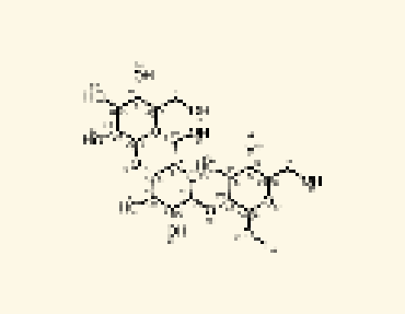 OC[C@H]1O[C@@H](O[C@H]2[C@H](O)[C@@H](O)[C@H](O[C@H]3[C@H](OI)O[C@H](CO)[C@@H](O)[C@@H]3O)O[C@@H]2CO)[C@H](O)[C@@H](O)[C@@H]1O